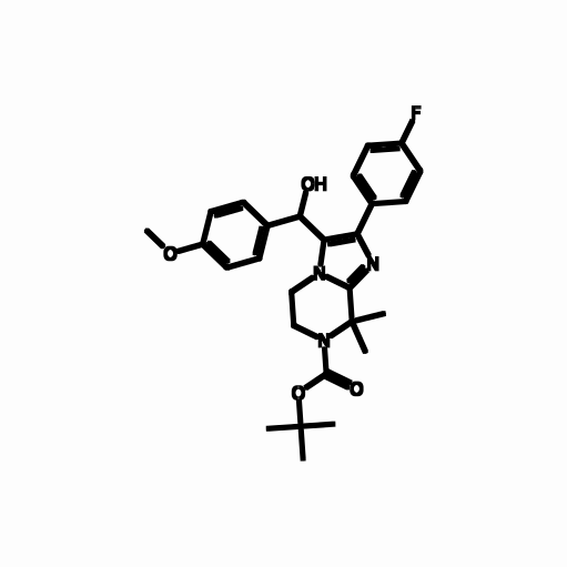 COc1ccc(C(O)c2c(-c3ccc(F)cc3)nc3n2CCN(C(=O)OC(C)(C)C)C3(C)C)cc1